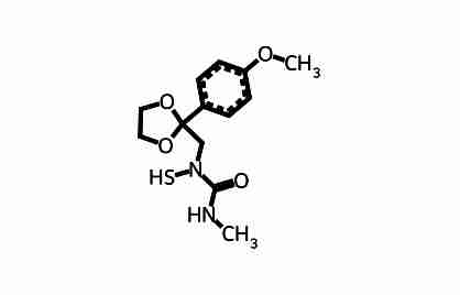 CNC(=O)N(S)CC1(c2ccc(OC)cc2)OCCO1